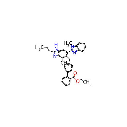 CCCc1nc2c(C)c(Cc3ccc(-c4ccccc4C(=O)OCC)cc3)c(-c3nc4ccccc4n3C)cc2[nH]1